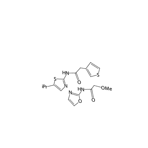 CC(C)c1cnc(NC(=O)Cc2ccsc2)s1.COCC(=O)Nc1ncco1